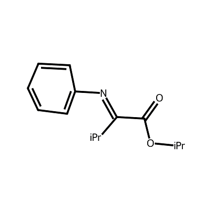 CC(C)OC(=O)/C(=N/c1ccccc1)C(C)C